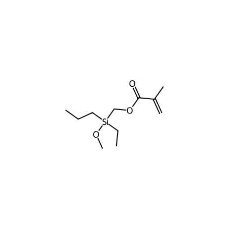 C=C(C)C(=O)OC[Si](CC)(CCC)OC